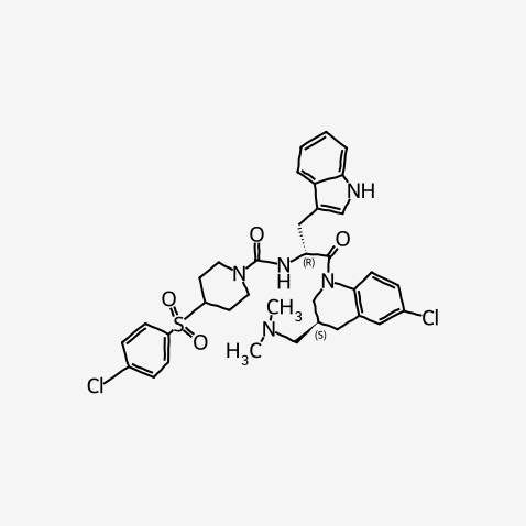 CN(C)C[C@@H]1Cc2cc(Cl)ccc2N(C(=O)[C@@H](Cc2c[nH]c3ccccc23)NC(=O)N2CCC(S(=O)(=O)c3ccc(Cl)cc3)CC2)C1